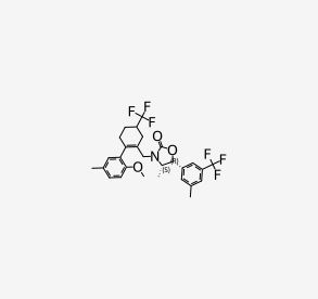 COc1ccc(C)cc1C1=C(CN2C(=O)O[C@H](c3cc(C)cc(C(F)(F)F)c3)[C@@H]2C)CC(C(F)(F)F)CC1